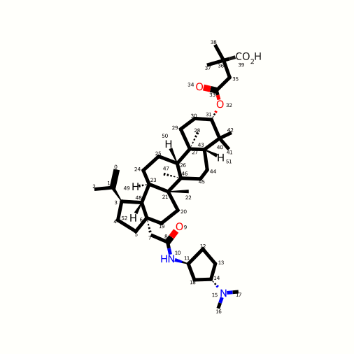 C=C(C)[C@@H]1CC[C@]2(CC(=O)N[C@H]3CC[C@H](N(C)C)C3)CC[C@]3(C)[C@H](CC[C@@H]4[C@@]5(C)CC[C@H](OC(=O)CC(C)(C)C(=O)O)C(C)(C)[C@@H]5CC[C@]43C)[C@@H]12